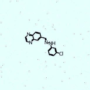 Clc1cccc(NN=Cc2ccc3nccnc3c2)c1